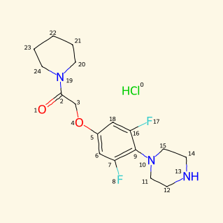 Cl.O=C(COc1cc(F)c(N2CCNCC2)c(F)c1)N1CCCCC1